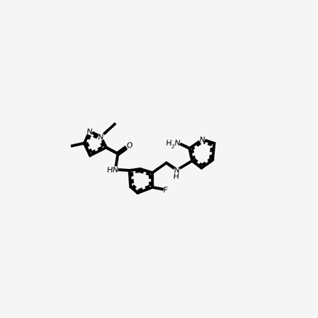 Cc1cc(C(=O)Nc2ccc(F)c(CNc3cccnc3N)c2)n(C)n1